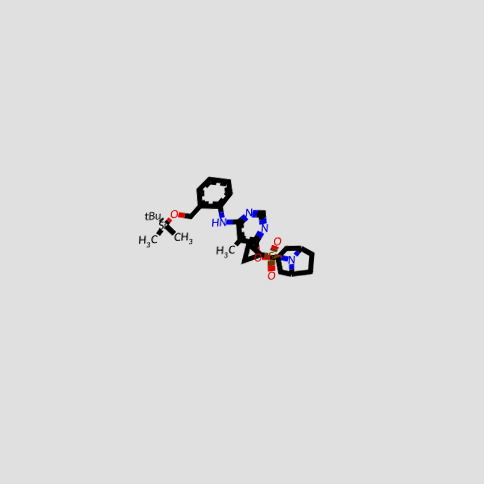 Cc1c(Nc2ccccc2CO[Si](C)(C)C(C)(C)C)ncnc1OC1CC2CCC(C1)N2S(=O)(=O)C1CC1